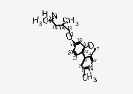 Cc1cc2c(cn1)COc1cc(OCC(C)CC(C)N)ccc1-2